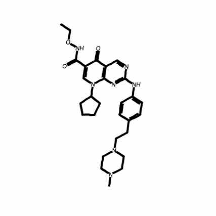 CCONC(=O)c1cn(C2CCCC2)c2nc(Nc3ccc(CCN4CCN(C)CC4)cc3)ncc2c1=O